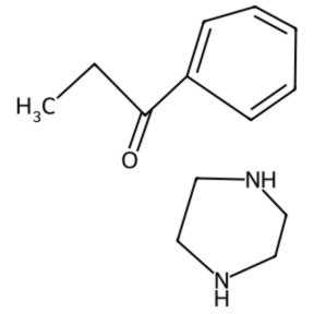 C1CNCCN1.CCC(=O)c1ccccc1